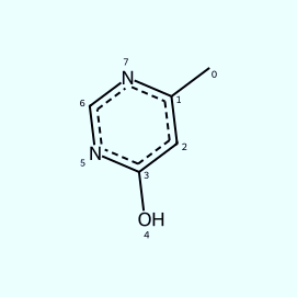 Cc1cc(O)ncn1